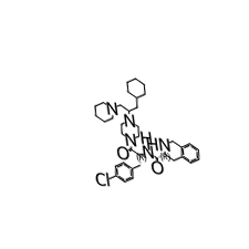 O=C(N[C@H](Cc1ccc(Cl)cc1)C(=O)N1CCN(C(CC2CCCCC2)CN2CCCCC2)CC1)[C@H]1Cc2ccccc2CN1